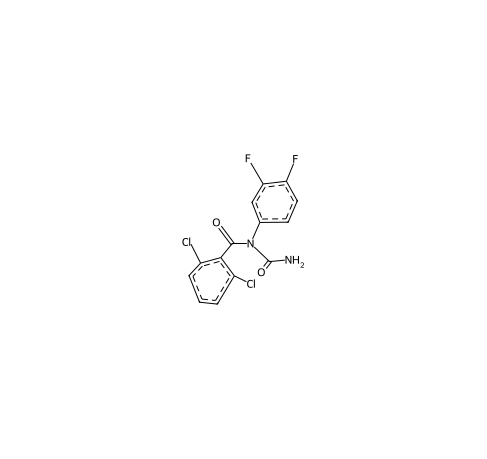 NC(=O)N(C(=O)c1c(Cl)cccc1Cl)c1ccc(F)c(F)c1